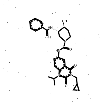 CC(C)n1c(=O)n(CC2CC2)c(=O)c2cc(NC(=O)N3CC[C@H](O)[C@@H](NC(=P)c4ccccc4)C3)ccc21